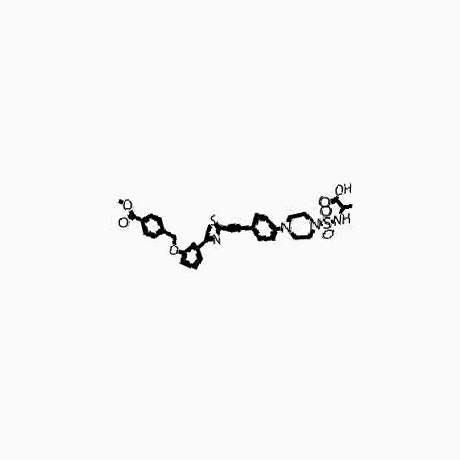 COC(=O)c1ccc(COc2cccc(-c3csc(C#Cc4ccc(N5CCN(S(=O)(=O)NC(C)C(=O)O)CC5)cc4)n3)c2)cc1